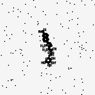 CCN(CC)c1ccc2cc(-c3ccc(/C(C)=C(\C#N)S(=O)(=O)NC[C@H]4OC(O)[C@H](O)[C@@H](O)[C@@H]4O)n3C)ccc2c1